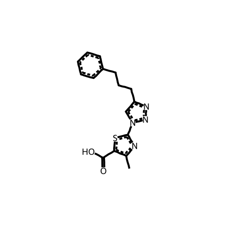 Cc1nc(-n2cc(CCCc3ccccc3)nn2)sc1C(=O)O